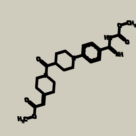 COC(=O)C=C1CCN(C(=O)C2CCN(c3ccc(C(=N)NC(=O)OC)cc3)CC2)CC1